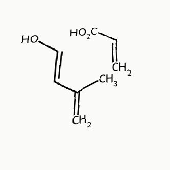 C=C(C)C=CO.C=CC(=O)O